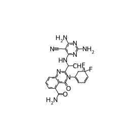 CC(Nc1nc(N)nc(N)c1C#N)c1nc2cccc(C(N)=O)c2c(=O)n1C1=CC=CC(F)(F)C1